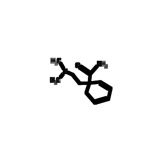 CN(C)CCC1(C(N)=O)C=CC=CC1